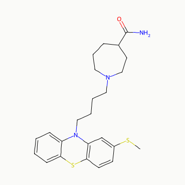 CSc1ccc2c(c1)N(CCCCN1CCCC(C(N)=O)CC1)c1ccccc1S2